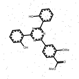 COC(=O)c1ccc(-c2nc(-c3ccccc3O)nc(-c3ccccc3O)n2)cc1OC